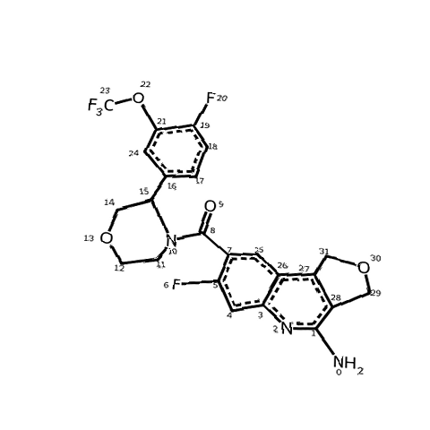 Nc1nc2cc(F)c(C(=O)N3CCOCC3c3ccc(F)c(OC(F)(F)F)c3)cc2c2c1COC2